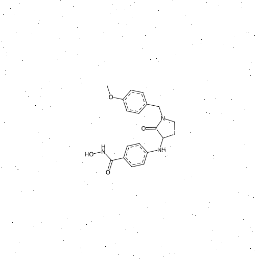 COc1ccc(CN2CCC(Nc3ccc(C(=O)NO)cc3)C2=O)cc1